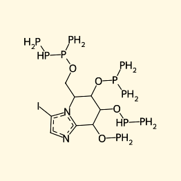 POC1c2ncc(I)n2C(COP(P)PP)C(OP(P)P)C1OPP